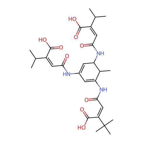 CC(C)/C(=C/C(=O)NC1=CC(NC(=O)/C=C(\C(=O)O)C(C)C)C(C)C(NC(=O)/C=C(\C(=O)O)C(C)(C)C)=C1)C(=O)O